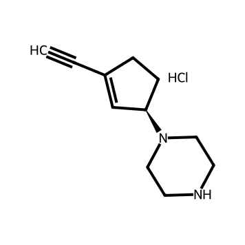 C#CC1=C[C@H](N2CCNCC2)CC1.Cl